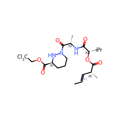 C/C=C/[C@@H](C)C(=O)O[C@H](C(=O)N[C@@H](C)C(=O)N1CCC[C@@H](C(=O)OCC(Cl)(Cl)Cl)N1)C(C)C